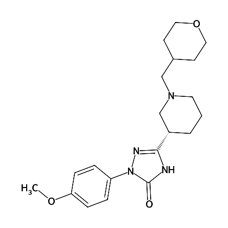 COc1ccc(-n2nc([C@H]3CCCN(CC4CCOCC4)C3)[nH]c2=O)cc1